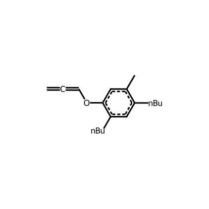 C=C=COc1cc(C)c(CCCC)cc1CCCC